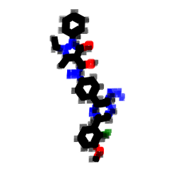 CCn1c(C)c(C(=O)Nc2ccc(-c3nc(-c4cccc(OC)c4F)cnc3N)cc2)c(=O)n1-c1ccccc1